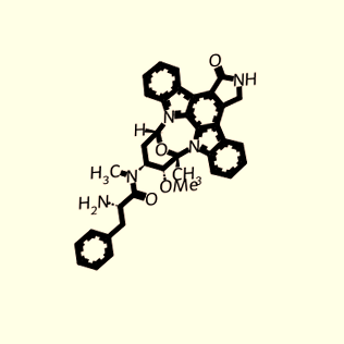 CO[C@@H]1[C@H](N(C)C(=O)[C@@H](N)Cc2ccccc2)C[C@H]2O[C@]1(C)n1c3ccccc3c3c4c(c5c6ccccc6n2c5c31)C(=O)NC4